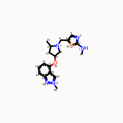 CNc1ncc(CN2CC(Oc3cccc4nn(C)cc34)CC2C)s1